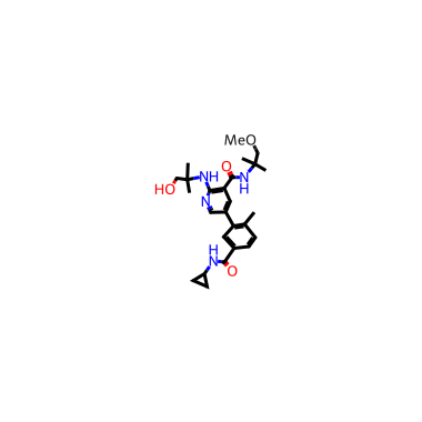 COCC(C)(C)NC(=O)c1cc(-c2cc(C(=O)NC3CC3)ccc2C)cnc1NC(C)(C)CO